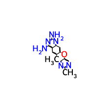 Cc1ncc(Oc2cc3nc(N)nc(N)c3cc2C)cn1